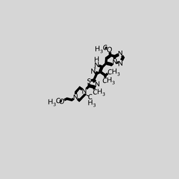 COCCN1CCN(c2sc(-c3n[nH]c(-c4cc(OC)c5ncnn5c4)c3C(C)C)nc2C)[C@H](C)C1